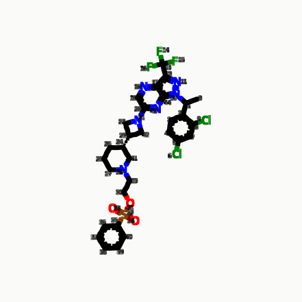 CC(c1ccc(Cl)cc1Cl)n1nc(C(F)(F)F)c2ncc(N3CC([C@H]4CCCN(CCOS(=O)(=O)c5ccccc5)C4)C3)nc21